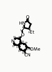 CC[C@@H]1CC(=O)N[C@@H]1COc1cncc2cc(C#N)c(OC)cc12